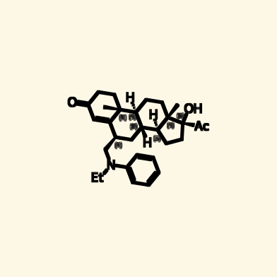 CCN(C[C@@H]1C[C@@H]2[C@H](CC[C@@]3(C)[C@H]2CC[C@]3(O)C(C)=O)[C@@]2(C)CCC(=O)C=C12)c1ccccc1